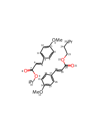 COc1ccc(C=CC(=O)OC(C)C)cc1.COc1ccc(C=CC(=O)OCCC(C)C)cc1